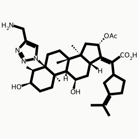 CC(=O)O[C@H]1C[C@@]2(C)[C@@H](C[C@@H](O)[C@@H]3[C@]2(C)CC[C@@]2(n4cc(CN)nn4)[C@H](C)[C@H](O)CC[C@]32C)/C1=C(/C(=O)O)C1CCC(=C(C)C)C1